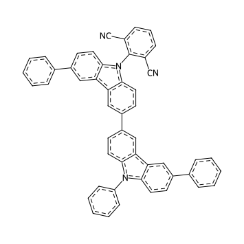 N#Cc1cccc(C#N)c1-n1c2ccc(-c3ccccc3)cc2c2cc(-c3ccc4c(c3)c3cc(-c5ccccc5)ccc3n4-c3ccccc3)ccc21